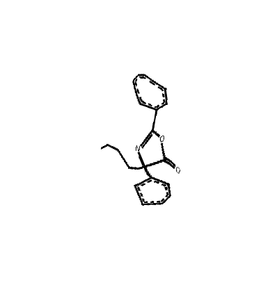 CCCC1(c2ccccc2)N=C(c2ccccc2)OC1=O